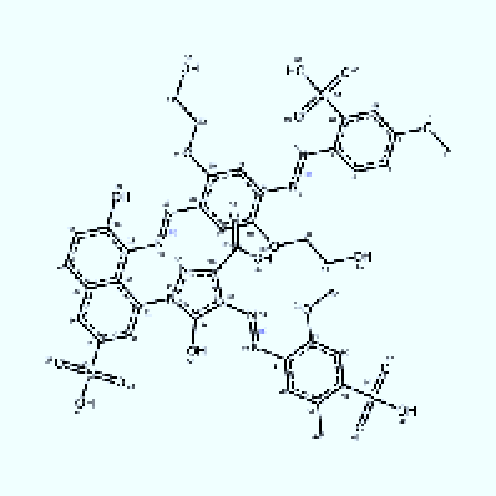 COc1ccc(/N=N/c2cc(OCCO)c(/N=N/c3c(O)ccc4cc(S(=O)(=O)O)cc(-n5nc(C(=O)O)c(/N=N/c6cc(C)c(S(=O)(=O)O)cc6OC)c5O)c34)cc2OCCO)c(S(=O)(=O)O)c1